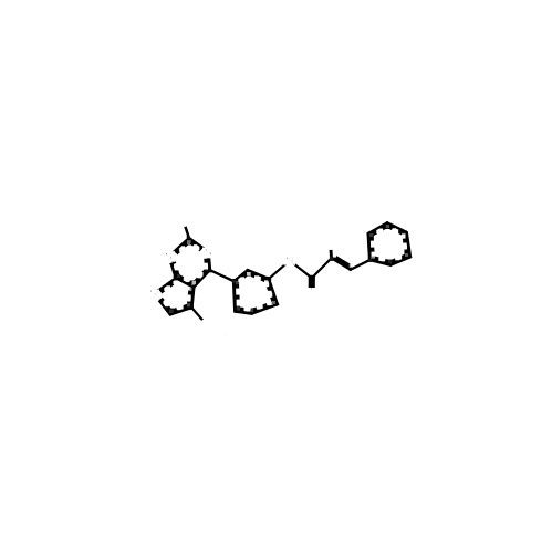 CCc1nc(-c2cccc(NC(=O)/C(F)=C/c3ccccc3)c2)c2c(C(=O)O)c[nH]c2n1